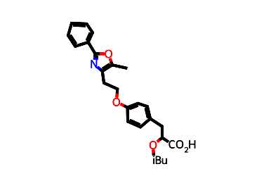 CCC(C)OC(Cc1ccc(OCCc2nc(-c3ccccc3)oc2C)cc1)C(=O)O